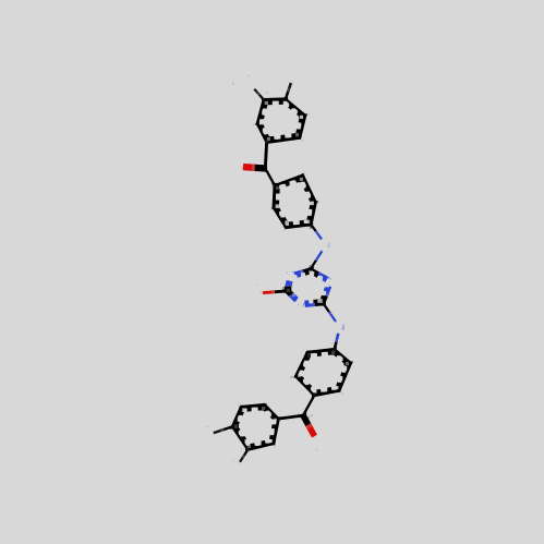 O=C(c1ccc(Nc2nc(O)nc(Nc3ccc(C(=O)c4ccc(C(=O)O)c(C(=O)O)c4)cc3)n2)cc1)c1ccc(C(=O)O)c(C(=O)O)c1